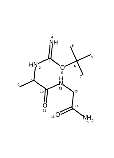 CC(NC(=N)OC(C)(C)C)C(=O)NCC(N)=O